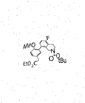 CCOC(=O)Cc1ccc(OC)c(-c2ccc(F)c3c2CN(C(=O)OC(C)(C)C)CC3)c1